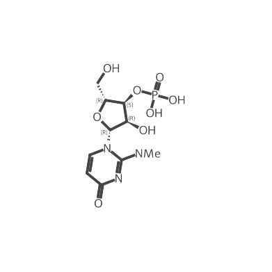 CNc1nc(=O)ccn1[C@@H]1O[C@H](CO)[C@@H](OP(=O)(O)O)[C@H]1O